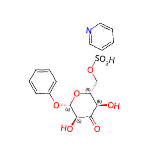 O=C1[C@@H](O)[C@H](Oc2ccccc2)O[C@H](COS(=O)(=O)O)[C@H]1O.c1ccncc1